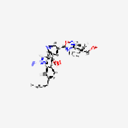 CC(C)(CO)c1noc(-c2cncc(C(O)(c3ccc(CC(F)(F)F)cc3)C3(C)CNC3)c2)n1